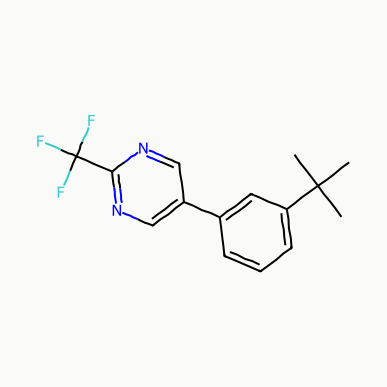 CC(C)(C)c1cccc(-c2cnc(C(F)(F)F)nc2)c1